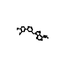 Nc1ncnc2c1ncn2Cc1ccnc(-c2ccc(F)c(F)c2)c1